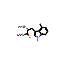 CNC(=O)[C@H](Cc1c[nH]c2cccc(C)c12)NC(C)=O